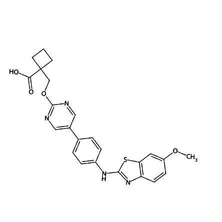 COc1ccc2nc(Nc3ccc(-c4cnc(OCC5(C(=O)O)CCC5)nc4)cc3)sc2c1